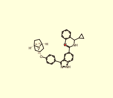 CN1[C@@H]2CC[C@H]1C[C@H](Oc1ccc(-c3n[nH]c4ccc(C(=O)NC(c5ccccc5Cl)C5CC5)cc34)cc1)C2